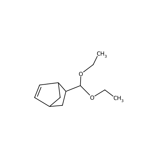 CCOC(OCC)C1CC2C=CC1C2